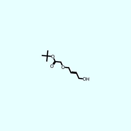 CC(C)(C)OC(=O)COCC=CCO